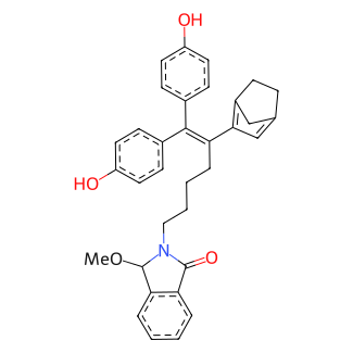 COC1c2ccccc2C(=O)N1CCCCC(C1=C2CCC(=C1)C2)=C(c1ccc(O)cc1)c1ccc(O)cc1